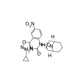 CN1[C@@H]2CCC[C@H]1C[C@@H](N(C(N)=O)c1ccc([N+](=O)[O-])cc1-c1nc(C3CC3)no1)C2